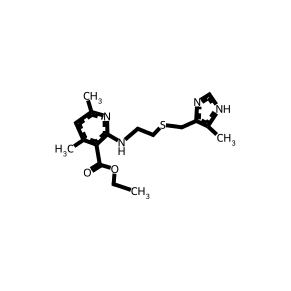 CCOC(=O)c1c(C)cc(C)nc1NCCSCc1nc[nH]c1C